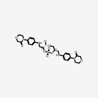 O=C1COCCN1c1ccc(NC[C@H](CCl)OS(=O)(=O)O[C@@H](CCl)CNc2ccc(N3CCOCC3=O)cc2)cc1